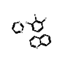 Fc1cccc(F)c1F.c1ccc2ncccc2c1.c1cncnc1